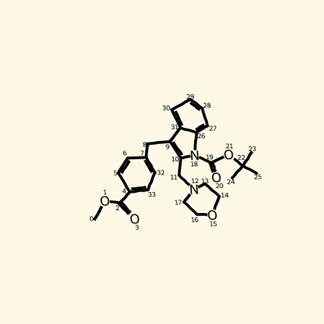 COC(=O)c1ccc(Cc2c(CN3CCOCC3)n(C(=O)OC(C)(C)C)c3ccccc23)cc1